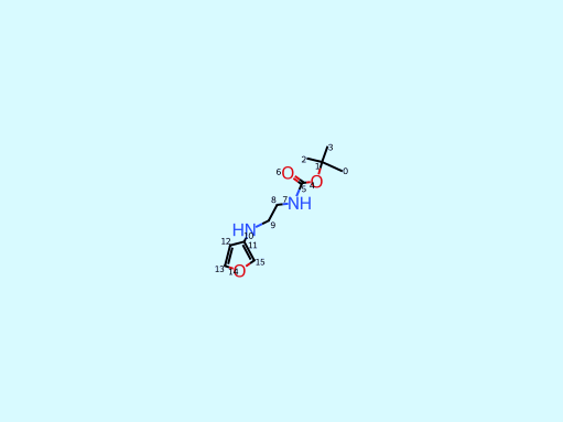 CC(C)(C)OC(=O)NCCNc1ccoc1